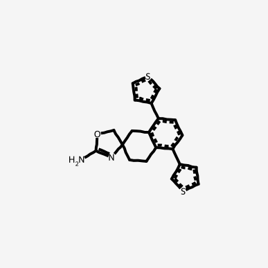 NC1=NC2(CCc3c(-c4ccsc4)ccc(-c4ccsc4)c3C2)CO1